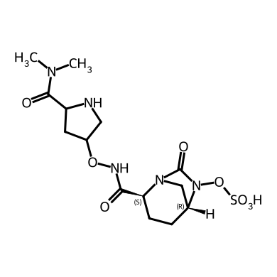 CN(C)C(=O)C1CC(ONC(=O)[C@@H]2CC[C@@H]3CN2C(=O)N3OS(=O)(=O)O)CN1